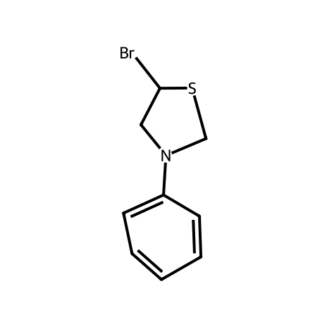 BrC1CN(c2ccccc2)CS1